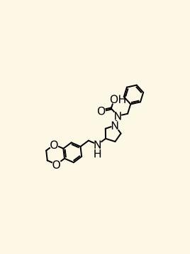 O=C(O)N(Cc1ccccc1)N1CCC(NCc2ccc3c(c2)OCCO3)C1